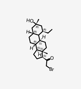 CC[C@@H]1C[C@@](C)(O)C[C@H]2CC[C@@H]3[C@H](CC[C@]4(C)[C@@H](C(=O)CBr)CC[C@@H]34)C12